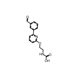 O=Cc1cccc(-c2cccc(OCCNC(=O)O)n2)c1